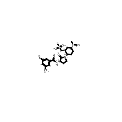 CC(C)N(C)[C@@H]1CC[C@H](N2CC[C@H](NC(=O)c3cc(F)cc(C(F)(F)F)c3)C2=O)[C@@H](CS(C)(=O)=O)C1